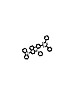 c1ccc(-c2nc(-c3ccccc3)nc(-c3ccc4c(c3)N(c3ccccc3)c3ccc(-n5c6ccccc6c6ccccc65)c5cccc-4c35)n2)cc1